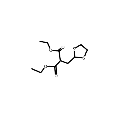 CCOC(=O)C(CC1SCCS1)C(=O)OCC